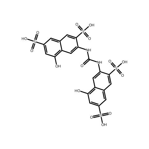 O=C(Nc1cc2c(O)cc(S(=O)(=O)O)cc2cc1S(=O)(=O)O)Nc1cc2c(O)cc(S(=O)(=O)O)cc2cc1S(=O)(=O)O